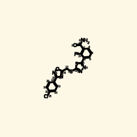 NC(=O)c1cccc(-c2nnc(SCc3nc(-c4ccc(Cl)cc4)no3)s2)c1F